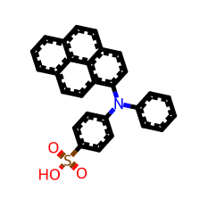 O=S(=O)(O)c1ccc(N(c2ccccc2)c2ccc3ccc4cccc5ccc2c3c45)cc1